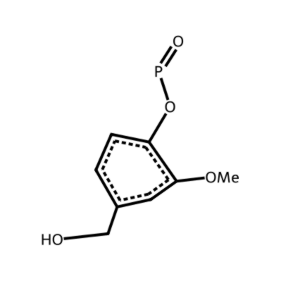 COc1cc(CO)ccc1OP=O